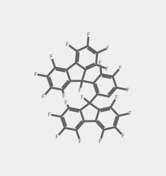 Fc1[c]c(C2(F)c3c(F)c(F)c(F)c(F)c3-c3c(F)c(F)c(F)c(F)c32)c(C2(F)c3c(F)c(F)c(F)c(F)c3-c3c(F)c(F)c(F)c(F)c32)c(F)c1F